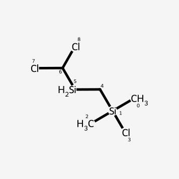 C[Si](C)(Cl)C[SiH2]C(Cl)Cl